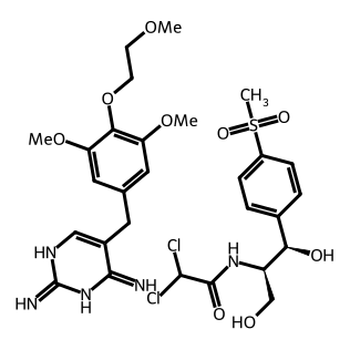 COCCOc1c(OC)cc(Cc2c[nH]c(=N)[nH]c2=N)cc1OC.CS(=O)(=O)c1ccc([C@@H](O)[C@@H](CO)NC(=O)C(Cl)Cl)cc1